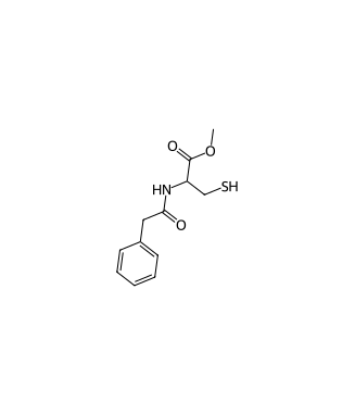 COC(=O)C(CS)NC(=O)Cc1ccccc1